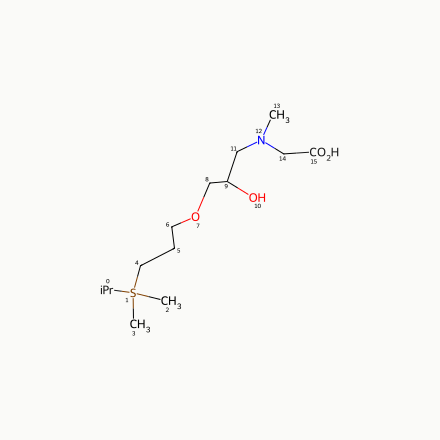 CC(C)S(C)(C)CCCOCC(O)CN(C)CC(=O)O